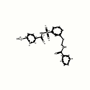 O=C(NCCc1cccc(S(=O)(=O)NC(=O)c2ccc(C(=O)O)nc2)c1)c1ccccc1